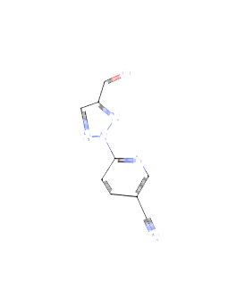 N#Cc1ccc(-n2ncc(C=O)n2)nc1